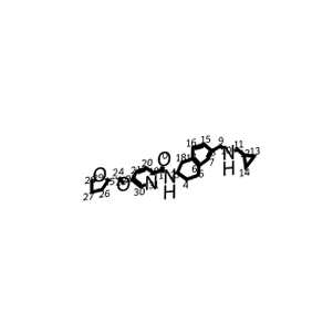 O=C(N[C@H]1CCc2cc(CNCC3CC3)ccc2C1)c1ccc(OC[C@@H]2CCCO2)cn1